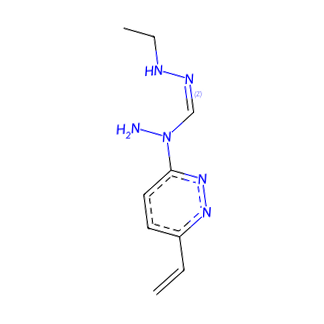 C=Cc1ccc(N(N)/C=N\NCC)nn1